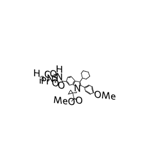 COC(=O)C1(Cn2c(-c3ccc(OC)cc3)c(C3CCCCC3)c3ccc(C(=O)NS(=O)(=O)N(C)C(C)C)cc32)CC1